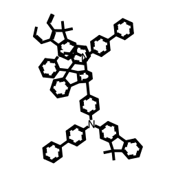 C=CC1=C(/C=C\C)c2ccc(N(c3ccc(-c4ccccc4)cc3)c3ccc(-c4ccc(N(c5ccc(-c6ccccc6)cc5)c5ccc6c(c5)C(C)(C)c5ccccc5-6)cc4)c4c3C3(c5ccccc5Sc5ccccc53)c3ccccc3-4)cc2C1(C)C